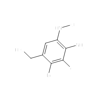 CCc1cc(NC)c(N)c(Cl)c1Br